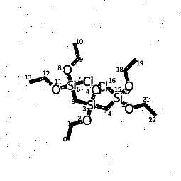 CCO[Si](Cl)(C[Si](Cl)(OCC)OCC)C[Si](Cl)(OCC)OCC